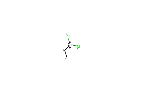 C[CH2][GeH]([Cl])[Cl]